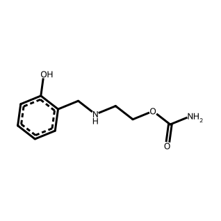 NC(=O)OCCNCc1ccccc1O